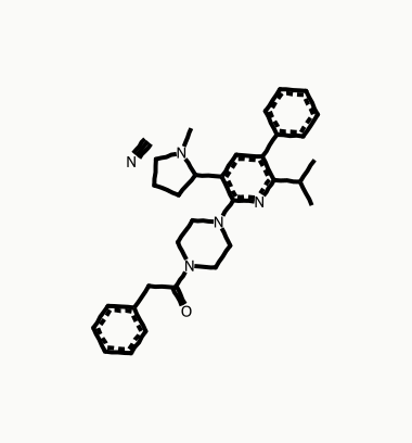 C#N.CC(C)c1nc(N2CCN(C(=O)Cc3ccccc3)CC2)c(C2CCCN2C)cc1-c1ccccc1